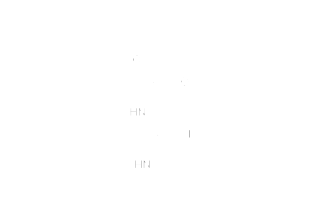 N=C(I)NC(=O)O